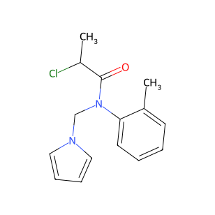 Cc1ccccc1N(Cn1cccc1)C(=O)C(C)Cl